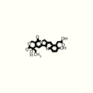 CCC1(O)C(=O)OCc2c1cc1n(c2=O)Cc2cc3c(CC(=O)O)c(O)ccc3nc2-1